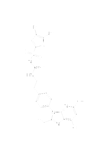 CCc1nc2c(C)cc(C)nc2n1-c1ccc(CCNC(=O)NS(=O)(=O)c2cc(Br)c(Br)s2)cc1